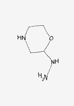 NNC1CNCCO1